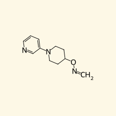 C=NOC1CCN(c2cccnc2)CC1